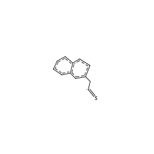 S=[C]Cc1ccc2ccccc2c1